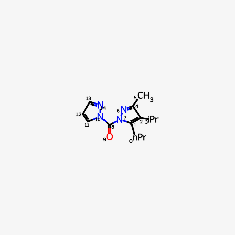 CCCc1c(C(C)C)c(C)nn1C(=O)n1cccn1